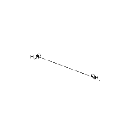 NC(=O)CCCCCCCCCCCCCCCCCCCCCCCCCCCCCCCCCCCCCCCCCCCCCCCCCCCCCCCCCCCC(N)=O